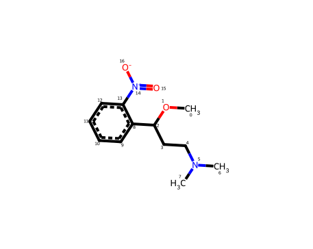 COC(CCN(C)C)c1ccccc1[N+](=O)[O-]